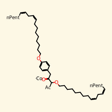 CCCCC/C=C\C/C=C\CCCCCCCCOc1ccc(CC(=O)C(OCCCCCCCC/C=C\C/C=C\CCCCC)C(C)=O)cc1.[Co]